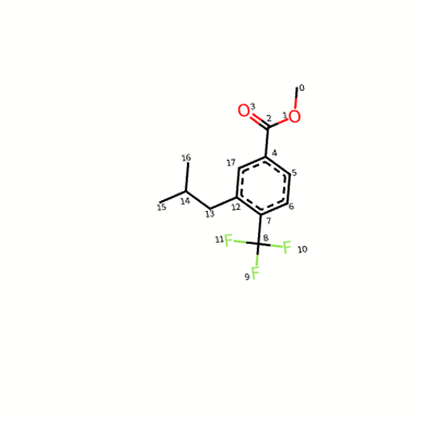 COC(=O)c1ccc(C(F)(F)F)c(CC(C)C)c1